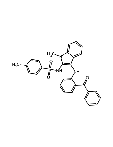 Cc1ccc(S(=O)(=O)Nc2c(Nc3ccccc3C(=O)c3ccccc3)c3ccccc3n2C)cc1